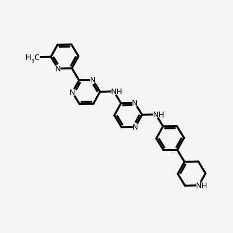 Cc1cccc(-c2nccc(Nc3ccnc(Nc4ccc(C5=CCNCC5)cc4)n3)n2)n1